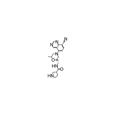 CC1CN(c2ccc(C#N)c3ncncc23)C[C@H](CNC(=O)C2CCNC2)O1